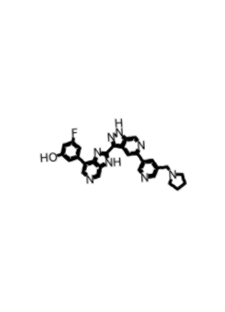 Oc1cc(F)cc(-c2cncc3[nH]c(-c4n[nH]c5cnc(-c6cncc(CN7CCCC7)c6)cc45)nc23)c1